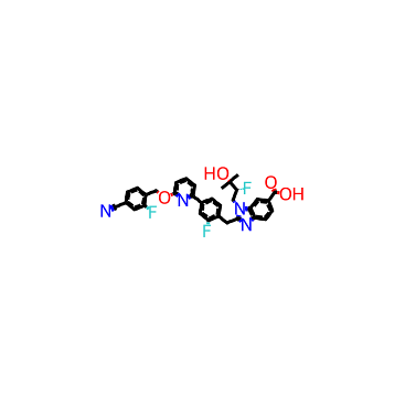 CC(C)(O)[C@H](F)Cn1c(Cc2ccc(-c3cccc(OCc4ccc(C#N)cc4F)n3)cc2F)nc2ccc(C(=O)O)cc21